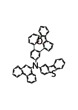 c1ccc(-c2ccc(N(c3ccc4sc5ccccc5c4c3)c3cc4ccccc4c4ccccc34)cc2-c2cccc3c2oc2ccccc23)cc1